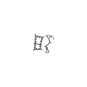 CCC=O.c1cc2ccc1-2